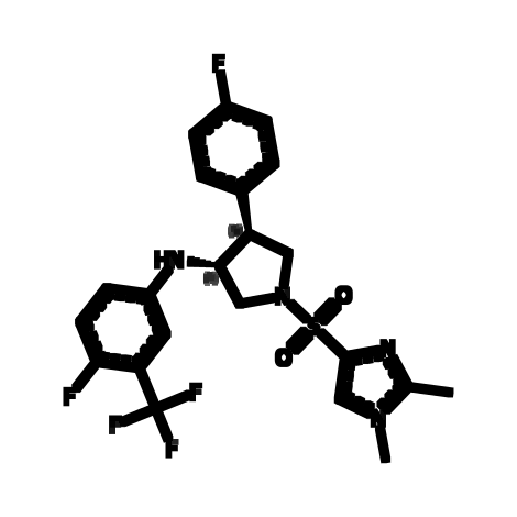 Cc1nc(S(=O)(=O)N2C[C@H](Nc3ccc(F)c(C(F)(F)F)c3)[C@@H](c3ccc(F)cc3)C2)cn1C